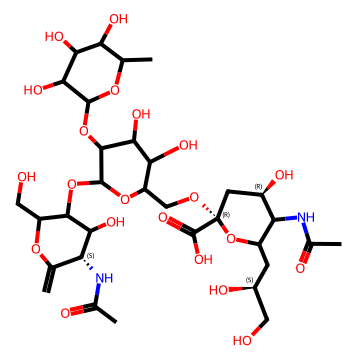 C=C1OC(CO)C(OC2OC(CO[C@]3(C(=O)O)C[C@@H](O)C(NC(C)=O)C(C[C@H](O)CO)O3)C(O)C(O)C2OC2OC(C)C(O)C(O)C2O)C(O)[C@@H]1NC(C)=O